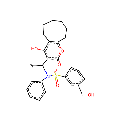 CC(C)C(c1c(O)c2c(oc1=O)CCCCCC2)N(c1ccccc1)S(=O)(=O)c1cccc(CO)c1